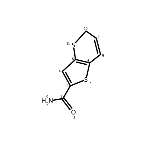 NC(=O)c1cc2c(s1)C=CCS2